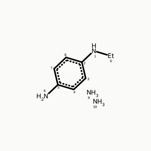 CCNc1ccc(N)cc1.N.N